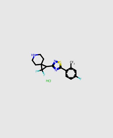 Cl.Fc1ccc(-c2nc(C3C(F)(F)C34CCNCC4)ns2)c(C(F)(F)F)c1